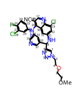 COCCOCCn1cc(C(Nc2cc(Cl)c3ncc(C#N)c(Nc4ccc(F)c(Cl)c4)c3c2)c2cccnc2)nn1